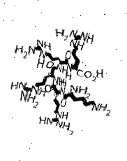 N=C(N)NCCC[C@H](NC(=O)[C@H](CCCNC(=N)N)NC(=O)[C@H](CCCNC(=N)N)NC(=O)[C@H](CCCNC(=N)N)NC(=O)[C@@H](N)CCCCN)C(=O)O